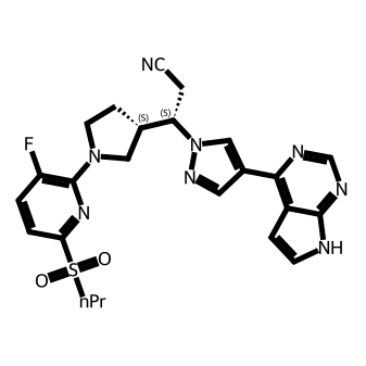 CCCS(=O)(=O)c1ccc(F)c(N2CC[C@H]([C@H](CC#N)n3cc(-c4ncnc5[nH]ccc45)cn3)C2)n1